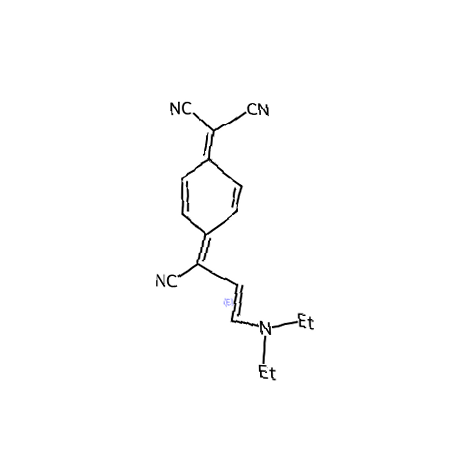 CCN(/C=C/C(C#N)=c1ccc(=C(C#N)C#N)cc1)CC